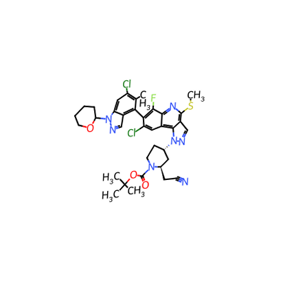 CSc1nc2c(F)c(-c3c(C)c(Cl)cc4c3cnn4C3CCCCO3)c(Cl)cc2c2c1cnn2[C@H]1CCN(C(=O)OC(C)(C)C)[C@H](CC#N)C1